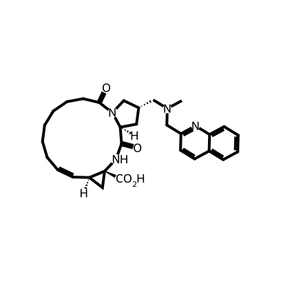 CN(Cc1ccc2ccccc2n1)C[C@@H]1C[C@H]2C(=O)N[C@]3(C(=O)O)C[C@H]3/C=C\CCCCCCC(=O)N2C1